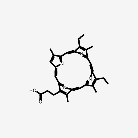 CCC1=C(C)C2=NC1=CC1=NC(=CC3=NC(=CC4=NC(=C2)C(C)=C4CCC(=O)O)C=C3C)C(CC)=C1C